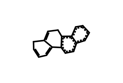 C1=CCC2=CCc3c(ccc4ccccc34)C2=C1